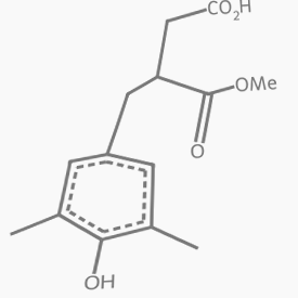 COC(=O)C(CC(=O)O)Cc1cc(C)c(O)c(C)c1